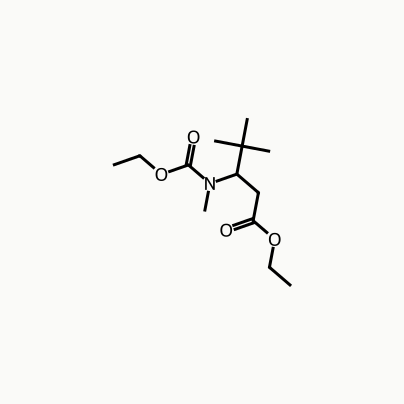 CCOC(=O)CC(N(C)C(=O)OCC)C(C)(C)C